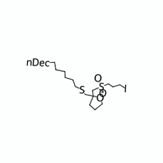 CCCCCCCCCCCCCCCCSCC1(CS(=O)(=O)CCCI)CCCO1